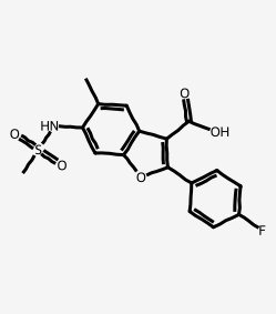 Cc1cc2c(C(=O)O)c(-c3ccc(F)cc3)oc2cc1NS(C)(=O)=O